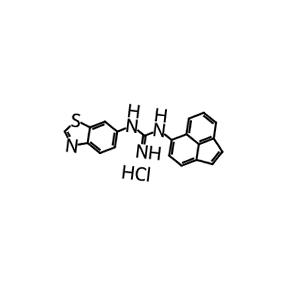 Cl.N=C(Nc1ccc2ncsc2c1)Nc1ccc2c3c(cccc13)C=C2